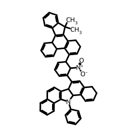 CC1(C)C2=C(c3ccccc31)C1C=CC=CC1C1=C2CCC=C1C1C=CC=C(C2=CC3=C(C=CCC3)C3C2c2ccc4ccccc4c2N3c2ccccc2)C1[N+](=O)[O-]